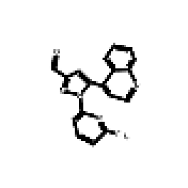 Cc1cccc(-n2nc(C=O)cc2-c2ccnc3ccccc23)n1